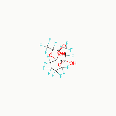 O=C(O)C(F)(OC1(OC(F)(C(=O)O)C(F)(F)F)CC(F)(F)C(F)(F)C(F)(F)C1(F)F)C(F)(F)F